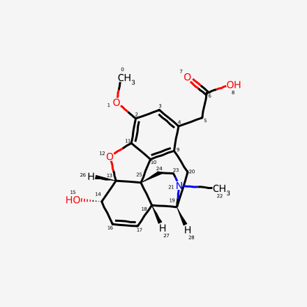 COc1cc(CC(=O)O)c2c3c1O[C@H]1[C@@H](O)C=C[C@H]4[C@@H](C2)N(C)CC[C@@]341